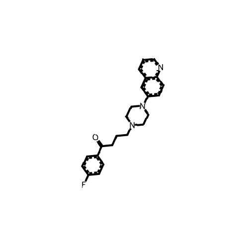 O=C(CCCN1CCN(c2ccc3ncccc3c2)CC1)c1ccc(F)cc1